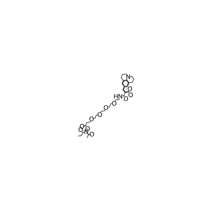 CCC(=O)N(OC(=O)CCOCCOCCOCCOCCNC(=O)c1cc2cc3c4c(c2oc1=O)CCCN4CCC3)C(C)=O